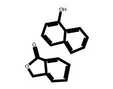 O=C1OCc2ccccc21.Oc1cccc2ccccc12